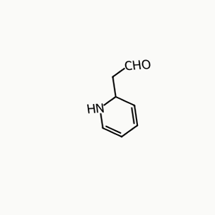 O=CCC1C=CC=CN1